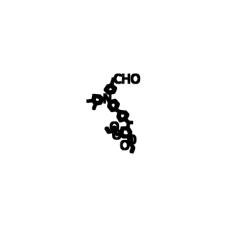 C=CC(=O)Oc1cc(OC(=O)C=C)cc(C(C)c2ccc(-c3ccc(N(c4ccc(CC=O)cc4)c4ccc(C)c(C)c4)cc3)cc2)c1